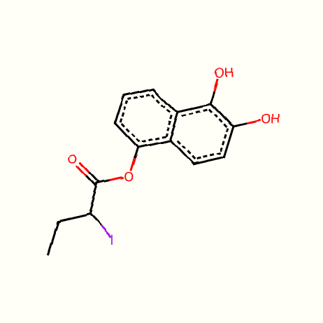 CCC(I)C(=O)Oc1cccc2c(O)c(O)ccc12